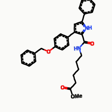 COC(=O)CCCCCNC(=O)c1[nH]c(-c2ccccc2)cc1-c1ccc(OCc2ccccc2)cc1